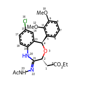 CCOC(=O)C[C@H]1O[C@H](c2cccc(OC)c2OC)c2cc(Cl)ccc2NC1=NNC(C)=O